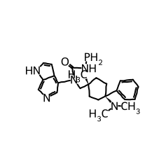 CN(C)[C@]1(c2ccccc2)CC[C@@](C)(CN(C(=O)NP)c2cncc3[nH]ccc23)CC1